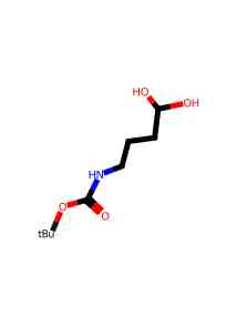 CC(C)(C)OC(=O)NCCCC(O)O